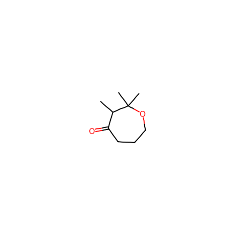 CC1C(=O)CCCOC1(C)C